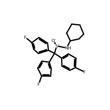 [O-][S+](NC1CCCCC1)C(c1ccc(F)cc1)(c1ccc(F)cc1)c1ccc(F)cc1